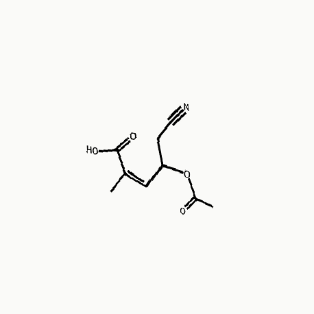 CC(=O)OC(C=C(C)C(=O)O)CC#N